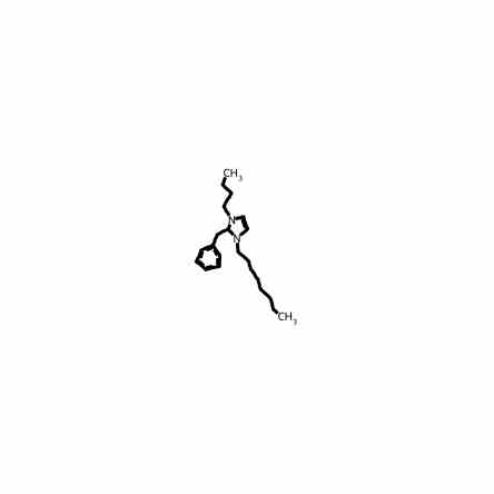 CCCCCCCCN1C=CN(CCCC)C1Cc1ccccc1